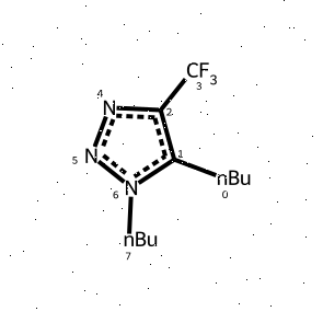 CCCCc1c(C(F)(F)F)nnn1CCCC